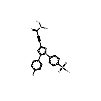 CN(O)C(=O)C#Cc1cc(-c2ccc(Cl)cc2)n(-c2ccc(S(N)(=O)=O)cc2)n1